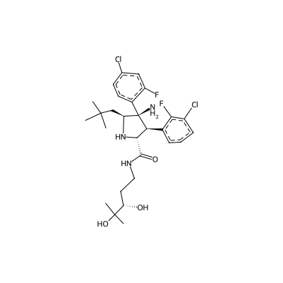 CC(C)(C)C[C@@H]1N[C@@H](C(=O)NCC[C@H](O)C(C)(C)O)[C@H](c2cccc(Cl)c2F)[C@@]1(N)c1ccc(Cl)cc1F